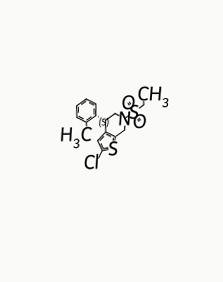 CCS(=O)(=O)N1Cc2sc(Cl)cc2[C@H](c2ccccc2C)C1